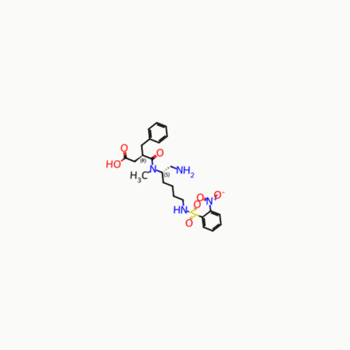 CN(C(=O)[C@@H](CC(=O)O)Cc1ccccc1)[C@H](CN)CCCCNS(=O)(=O)c1ccccc1[N+](=O)[O-]